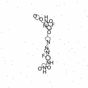 O=C1CC[C@H](Nc2ccc(N3CCN(CCN4CCC(COc5cc(F)c6c(=O)[nH]c(COC7CCOCC7)nc6c5)CC4)CC3)c(F)c2)C(=O)N1